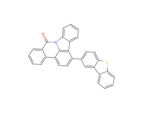 O=c1c2ccccc2c2ccc(-c3ccc4sc5ccccc5c4c3)c3c4ccccc4n1c23